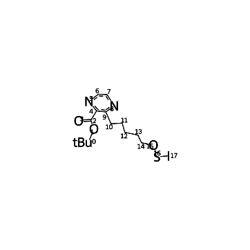 CC(C)(C)OC(=O)c1nccnc1CCCCCOSI